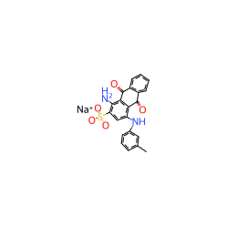 Cc1cccc(Nc2cc(S(=O)(=O)[O-])c(N)c3c2C(=O)c2ccccc2C3=O)c1.[Na+]